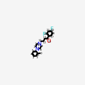 Cc1ccccc1N1CCN(CCCC(=O)c2ccc(F)cc2F)CC1